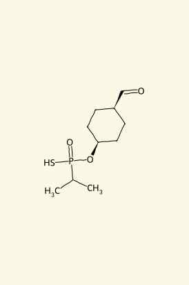 CC(C)P(=O)(S)O[C@H]1CC[C@@H](C=O)CC1